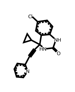 O=C1Nc2ccc(Cl)cc2C(C#Cc2ccccn2)(C2CC2)N1